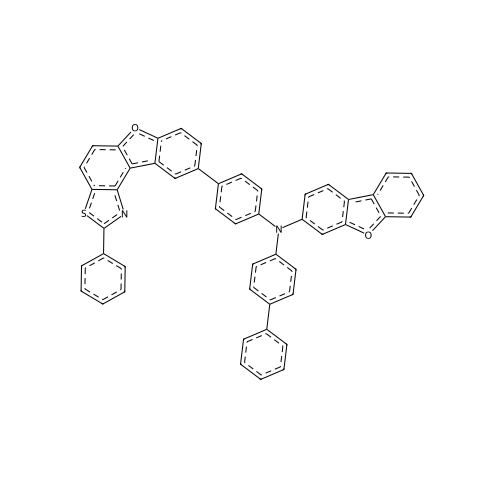 c1ccc(-c2ccc(N(c3ccc(-c4ccc5oc6ccc7sc(-c8ccccc8)nc7c6c5c4)cc3)c3ccc4c(c3)oc3ccccc34)cc2)cc1